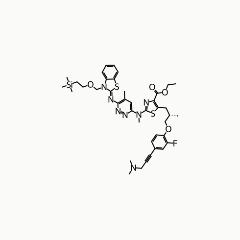 CCOC(=O)c1nc(N(C)c2cc(C)c(/N=c3\sc4ccccc4n3COCC[Si](C)(C)C)nn2)sc1C[C@H](C)COc1ccc(C#CCN(C)C)cc1F